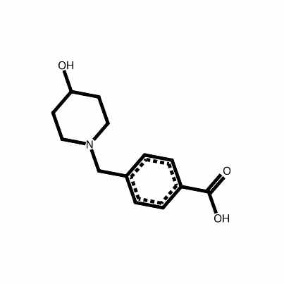 O=C(O)c1ccc(CN2CCC(O)CC2)cc1